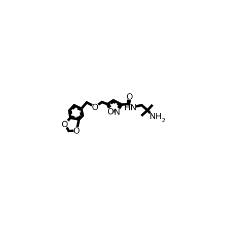 CC(C)(N)CNC(=O)c1cc(COCc2ccc3c(c2)OCO3)on1